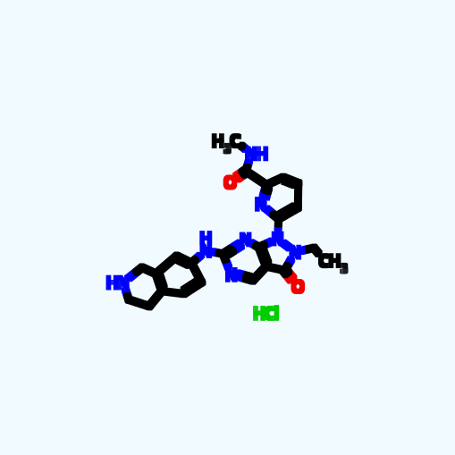 CCn1c(=O)c2cnc(Nc3ccc4c(c3)CNCC4)nc2n1-c1cccc(C(=O)NC)n1.Cl